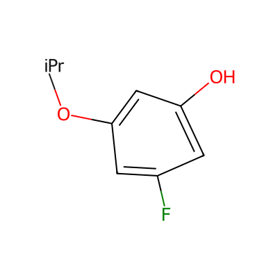 CC(C)Oc1cc(O)cc(F)c1